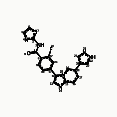 O=C(Nc1nccs1)c1ccc(-c2cnc3ccc(-c4cn[nH]c4)cn23)cc1F